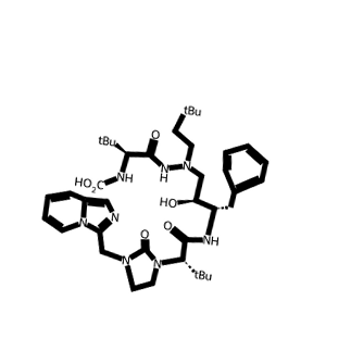 CC(C)(C)CCN(C[C@H](O)[C@H](Cc1ccccc1)NC(=O)[C@@H](N1CCN(Cc2ncc3ccccn23)C1=O)C(C)(C)C)NC(=O)[C@@H](NC(=O)O)C(C)(C)C